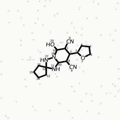 N#CC1C(C2CCCO2)C(C#N)C2NC3(CCCC3)NN2C1O